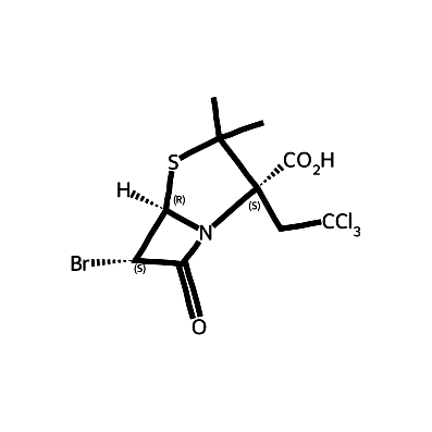 CC1(C)S[C@@H]2[C@@H](Br)C(=O)N2[C@@]1(CC(Cl)(Cl)Cl)C(=O)O